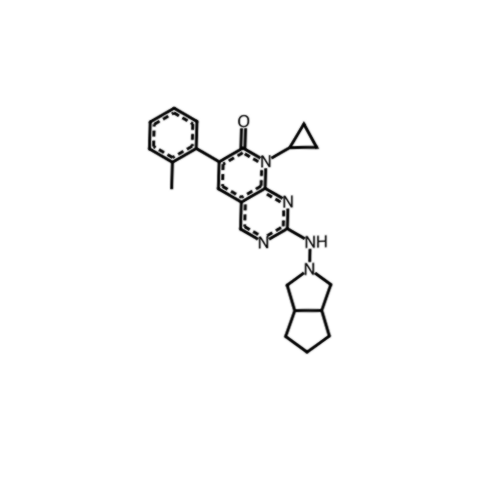 Cc1ccccc1-c1cc2cnc(NN3CC4CCCC4C3)nc2n(C2CC2)c1=O